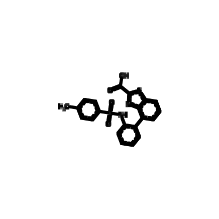 Cc1ccc(S(=O)(=O)Nc2ccccc2-c2cccc3sc(C(=O)O)nc23)cc1